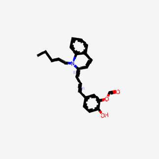 CCCCCN1/C(=C/C=C/c2ccc(O)c(OC=O)c2)C=Cc2ccccc21